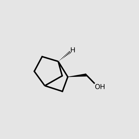 OC[C@H]1CC2CC[C@@H]1C2